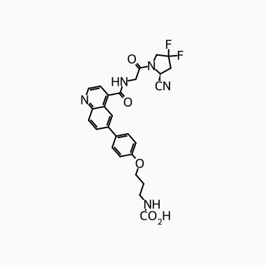 N#C[C@@H]1CC(F)(F)CN1C(=O)CNC(=O)c1ccnc2ccc(-c3ccc(OCCCNC(=O)O)cc3)cc12